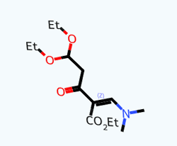 CCOC(=O)/C(=C\N(C)C)C(=O)CC(OCC)OCC